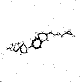 N[C@]1(CO)CC[C@H](c2ccc3c(c2)CC[C@@H](CCOCC2CC2)C3)C1